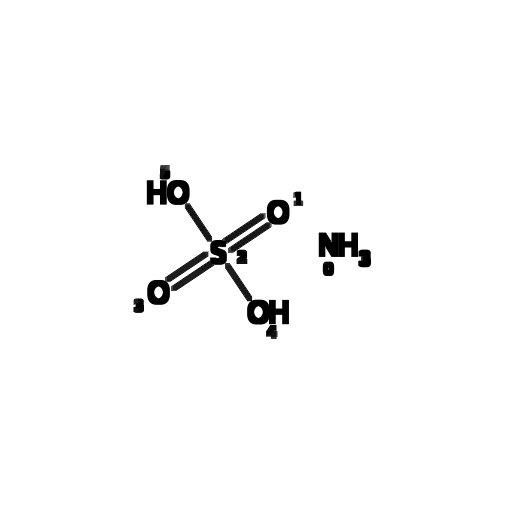 N.O=S(=O)(O)O